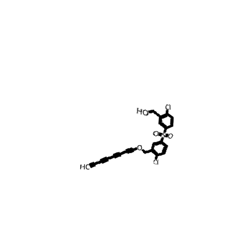 C#CC#CC#CC#COCc1cc(S(=O)(=O)c2ccc(Cl)c(CO)c2)ccc1Cl